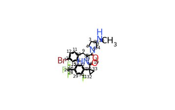 CN[C@@H]1CCN(C(=O)[C@H](Cc2ccc(Br)cc2)NC(=O)C2(c3ccc(C(F)(F)F)cc3F)CC2)C1